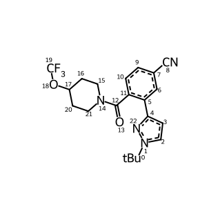 CC(C)(C)n1ccc(-c2cc(C#N)ccc2C(=O)N2CCC(OC(F)(F)F)CC2)n1